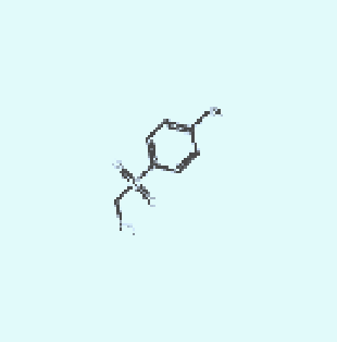 CCC(C)c1ccc(S(=O)(=O)CC(F)(F)F)cc1